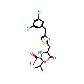 CC(C)CC(NC(Cc1nc(Cc2cc(Cl)cc(Cl)c2)cs1)C(=O)O)C(=O)O